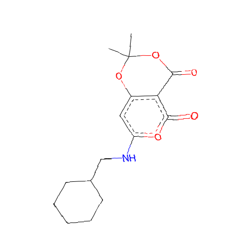 CC1(C)OC(=O)c2c(cc(NCC3CCCCC3)oc2=O)O1